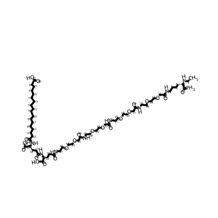 CCN[C@@H](CCCCNC(=O)COCCOCCNC(=O)COCCOCCNC(=O)COCCOCCNC(=O)COCCOCCNC(=O)CC[C@H](NC(=O)CC[C@H](NC(=O)CCCCCCCCCCCCCCCCC(=O)O)C(=O)O)C(=O)O)C(=O)P